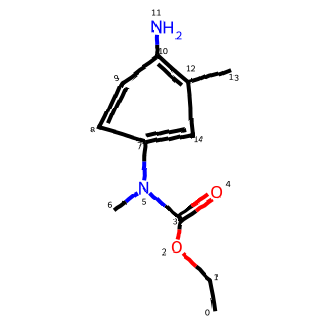 CCOC(=O)N(C)c1ccc(N)c(C)c1